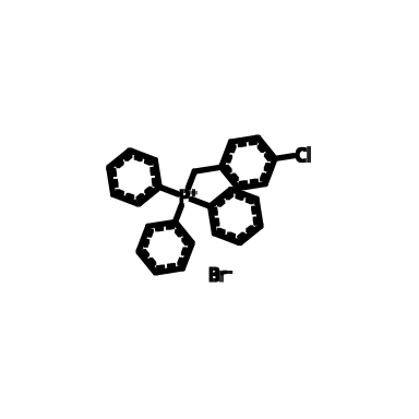 Clc1ccc(C[P+](c2ccccc2)(c2ccccc2)c2ccccc2)cc1.[Br-]